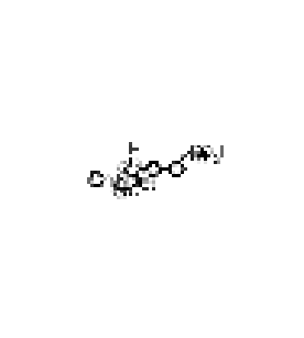 CCO[C@H](C(=O)N1C(=O)OC[C@@H]1Cc1ccccc1)[C@@H](O)c1ccc(-c2cccc(CNC(=O)O)c2)cc1